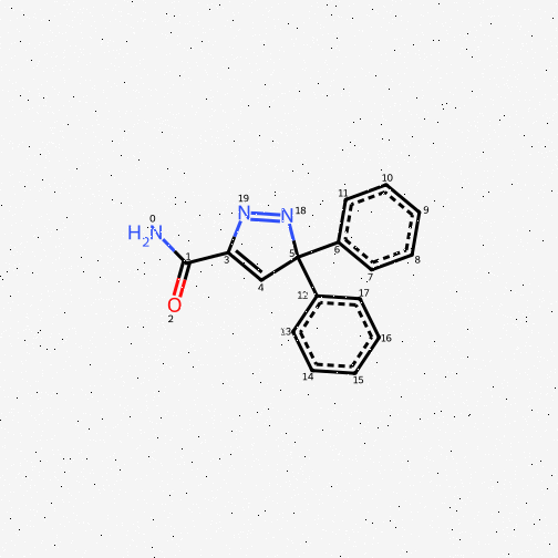 NC(=O)C1=CC(c2ccccc2)(c2ccccc2)N=N1